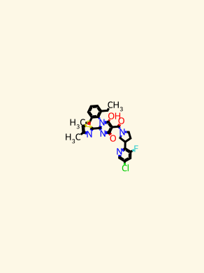 CCc1cccc(CC)c1-n1c(-c2nc(C)cs2)nc(=O)c(C(=O)N2CCC(c3ncc(Cl)cc3F)C2)c1O